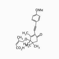 COc1ccc(C#CC2=C(C)[C@@](C)(OC/C(C)=C\C(=O)O)C(C)(C)CC2=O)cc1